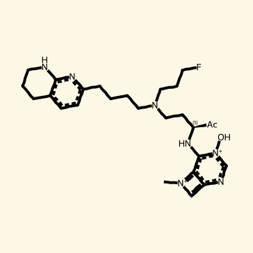 CC(=O)[C@H](CCN(CCCF)CCCCc1ccc2c(n1)NCCC2)Nc1c2c(nc[n+]1O)=C[N+]=2C